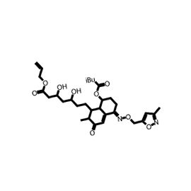 C=CCOC(=O)CC(O)CC(O)CCC1C(C)C(=O)C=C2C(=NOCc3cc(C)no3)CCC(OC(=O)C(C)CC)C21